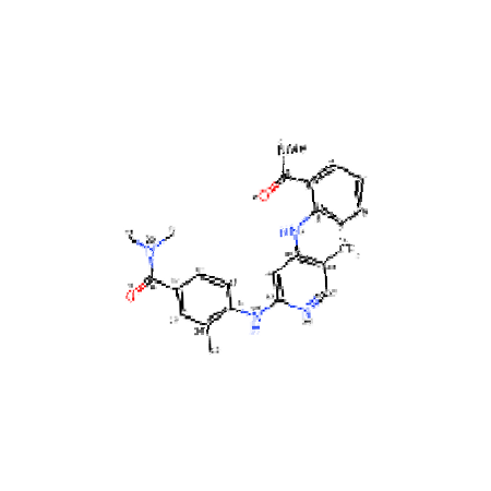 CNC(=O)c1ccccc1Nc1cc(Nc2ccc(C(=O)N(C)C)cc2C)ncc1C(F)(F)F